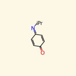 CC(C)N=C1C=CC(=O)C=C1